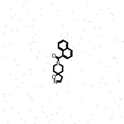 O=C(c1cccc2ccccc12)N1CCC2(CC=NO2)CC1